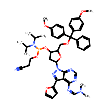 COc1ccc(C(OCC2OC(n3nc(-c4ccco4)c4c(/N=C\N(C)C)ncnc43)CC2OP(OCCC#N)N(C(C)C)C(C)C)(c2ccccc2)c2ccc(OC)cc2)cc1